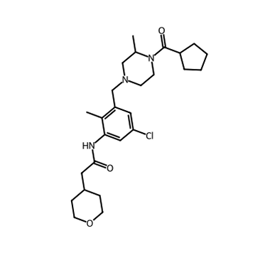 Cc1c(CN2CCN(C(=O)C3CCCC3)C(C)C2)cc(Cl)cc1NC(=O)CC1CCOCC1